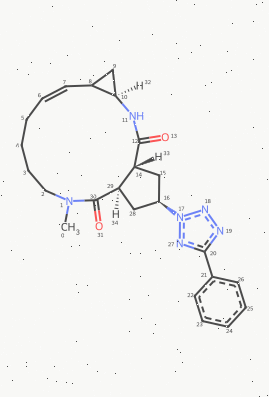 CN1CCCC/C=C\C2C[C@H]2NC(=O)[C@@H]2C[C@@H](n3nnc(-c4ccccc4)n3)C[C@H]2C1=O